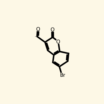 O=[C]c1cc2cc(Br)ccc2oc1=O